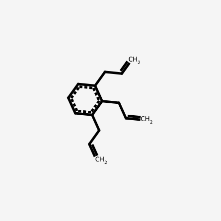 C=CCc1cccc(CC=C)c1CC=C